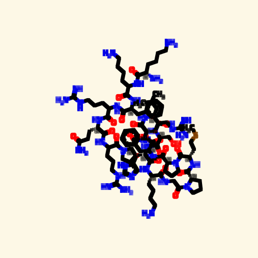 CSCC[C@H](NC(=O)[C@@H]1CCCN1C(=O)CNC(=O)[C@H](CCCCN)NC(=O)[C@H](Cc1cnc[nH]1)NC(=O)[C@H](CO)NC(=O)[C@H](CC(C)C)NC(=O)[C@H](CCCNC(=N)N)NC(=O)[C@@H]1CCCN1C(=O)C(CCCNC(=N)N)NC(=O)[C@H](CCC(N)=O)NC(=O)C(CCCNC(=N)N)NC(=O)[C@H](Cc1ccccc1)NC(=O)C(CCCCN)NC(=O)[C@@H](N)CCCCN)C(=O)N1CCC[C@H]1C(=O)N[C@@H](Cc1ccccc1)C(=O)O